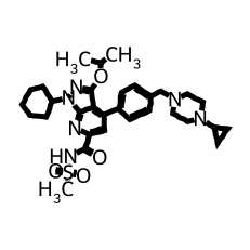 CC(C)Oc1nn(C2CCCCC2)c2nc(C(=O)NS(C)(=O)=O)cc(-c3ccc(CN4CCN(C5CC5)CC4)cc3)c12